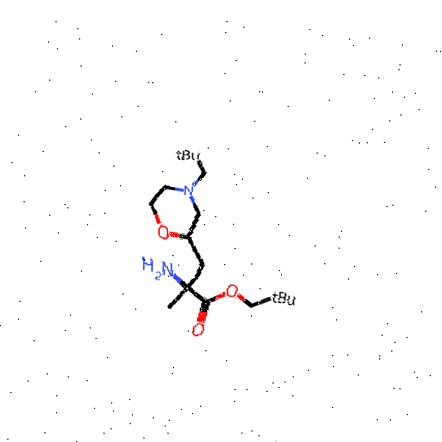 CC(C)(C)COC(=O)C(C)(N)CC1CN(CC(C)(C)C)CCO1